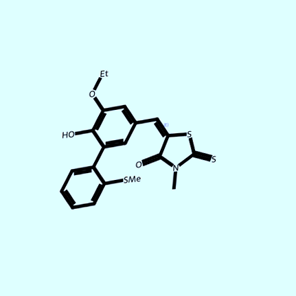 CCOc1cc(/C=C2/SC(=S)N(C)C2=O)cc(-c2ccccc2SC)c1O